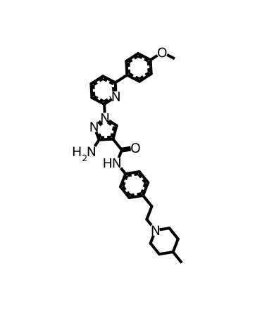 COc1ccc(-c2cccc(-n3cc(C(=O)Nc4ccc(CCN5CCC(C)CC5)cc4)c(N)n3)n2)cc1